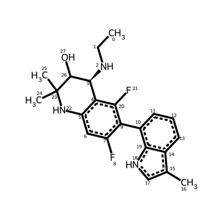 CCN[C@H]1c2c(cc(F)c(-c3cccc4c(C)c[nH]c34)c2F)NC(C)(C)C1O